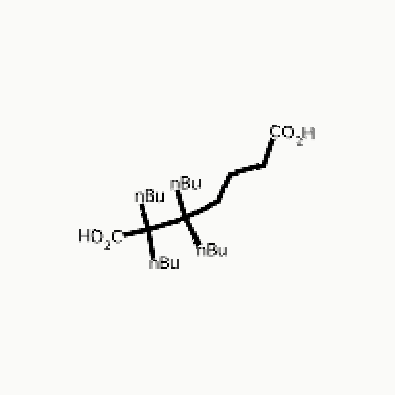 CCCCC(CCCC)(CCCC(=O)O)C(CCCC)(CCCC)C(=O)O